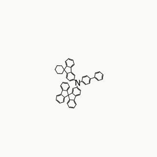 c1ccc(-c2ccc(N(c3ccc4c(c3)-c3ccccc3C43CCCCC3)c3ccc4c(c3)C3(c5ccccc5-c5ccccc53)c3ccccc3-4)cc2)cc1